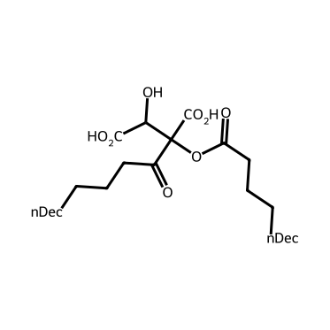 CCCCCCCCCCCCCC(=O)OC(C(=O)O)(C(=O)CCCCCCCCCCCCC)C(O)C(=O)O